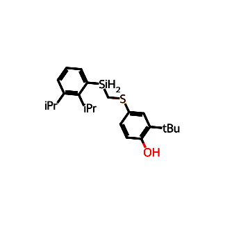 CC(C)c1cccc([SiH2]CSc2ccc(O)c(C(C)(C)C)c2)c1C(C)C